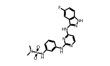 CN(C)S(=O)(=O)Nc1cccc(Nc2nccc(Nc3n[nH]c4ccc(F)cc34)n2)c1